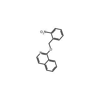 O=[N+]([O-])c1ccccc1COc1nccc2ccccc12